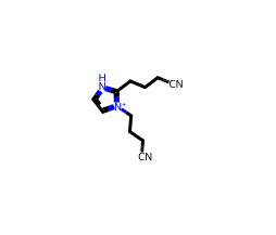 N#CCCCc1[nH]cc[n+]1CCCC#N